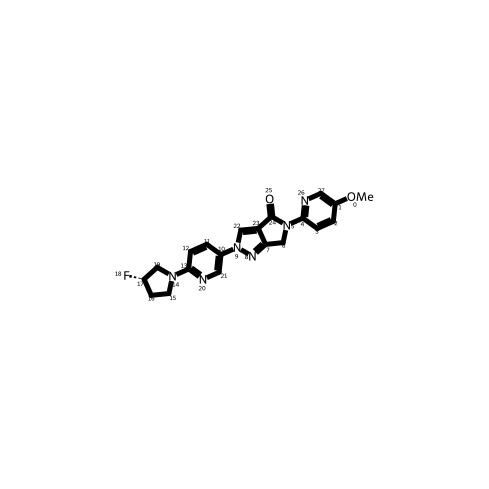 COc1ccc(N2Cc3nn(-c4ccc(N5CC[C@H](F)C5)nc4)cc3C2=O)nc1